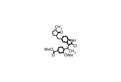 COC(=O)c1ccc(C(C)c2c(Cl)[nH]c3ccc(CC4CCN(C)C4=O)cc23)c(OC)c1